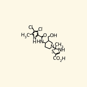 Cc1[nH]c(C(=O)NC2CCN(C3(C)NC=C(C(=O)O)S3)CC2CO)c(Cl)c1Cl